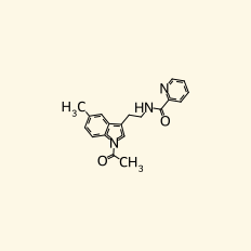 CC(=O)n1cc(CCNC(=O)c2ccccn2)c2cc(C)ccc21